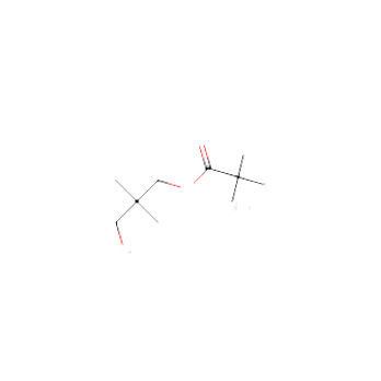 CCCCC(CC)(CC)C(=O)OCC(C)(C)CO